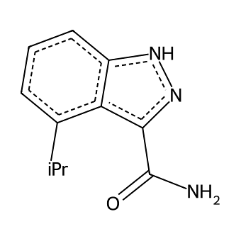 CC(C)c1cccc2[nH]nc(C(N)=O)c12